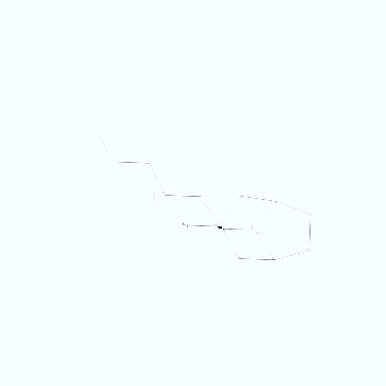 CCCCCCN1C2CCC1CC(C(=O)O)C2